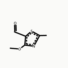 COc1nc(C)sc1[C]=O